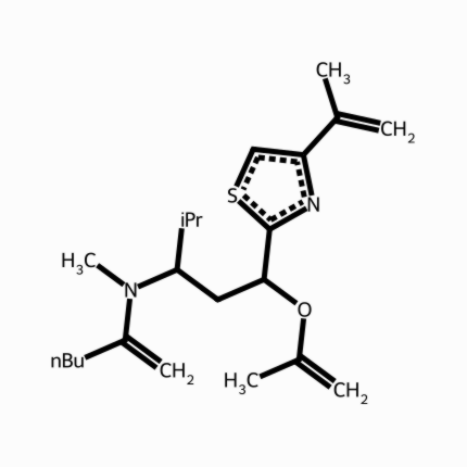 C=C(C)OC(CC(C(C)C)N(C)C(=C)CCCC)c1nc(C(=C)C)cs1